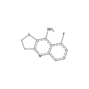 Nc1c2c(nc3cccc(F)c13)CCS2